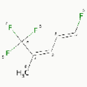 CC(=CC=CF)C(F)(F)F